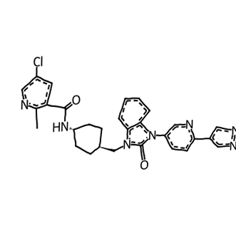 Cc1ncc(Cl)cc1C(=O)N[C@H]1CC[C@H](Cn2c(=O)n(-c3ccc(-c4cnn(C)c4)nc3)c3ccccc32)CC1